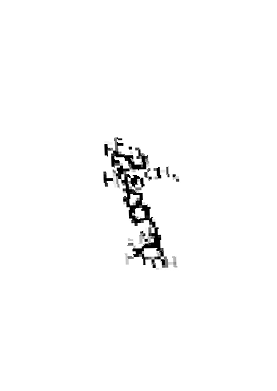 Cc1coc(C(F)(F)F)c1S(=O)(=O)N[C@H]1Cc2ccc(Cn3cc(CO)c(C(F)(F)F)n3)cc2C1